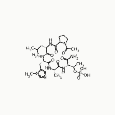 CC(=O)N1CCCC1C(=O)N[C@@H](CC(C)C)C(=O)N[C@@H](Cc1cncn1C)C(=O)N[C@@H](C)C(=O)N[C@H](C(N)=O)[C@@H](C)OP(=O)(O)O